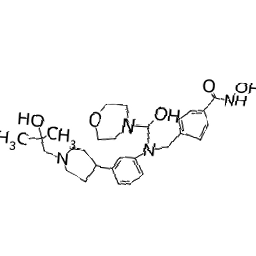 CC(C)(O)CN1CCC(c2cccc(N(Cc3ccc(C(=O)NO)cc3)C(O)N3CCOCC3)c2)CC1